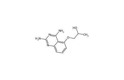 CC(O)COc1cccc2nc(N)nc(N)c12